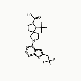 CC(C)(C)C1N(C(=O)O)CCC12CCN(c1ncnc3sc(CC(F)(F)F)cc13)C2